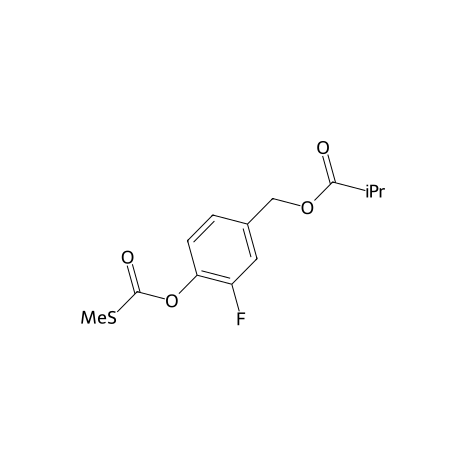 CSC(=O)Oc1ccc(COC(=O)C(C)C)cc1F